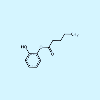 [CH2]CCCC(=O)Oc1ccccc1O